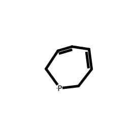 C1=CC[P]CC=C1